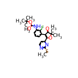 CSc1nccc(C2=C(c3cccc(NC(=O)OC(C)(C)C)c3F)C(=O)C(C)(C)O2)n1